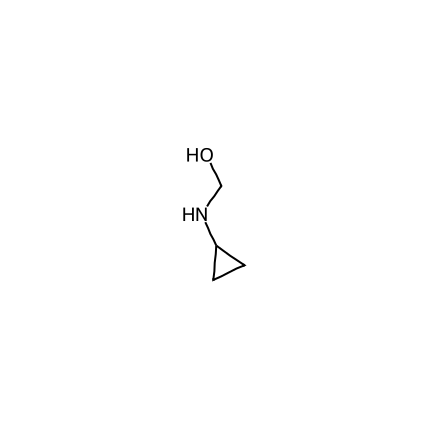 OCNC1CC1